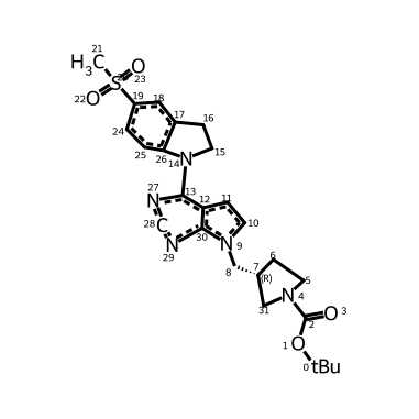 CC(C)(C)OC(=O)N1CC[C@@H](Cn2ccc3c(N4CCc5cc(S(C)(=O)=O)ccc54)ncnc32)C1